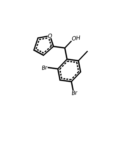 Cc1cc(Br)cc(Br)c1C(O)c1ccco1